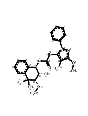 COc1nn(-c2ccccc2)c(NC(=O)N[C@@H]2c3ccccc3C(C)(C)[C@@H](OC)[C@H]2O)c1C